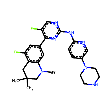 CC(C)N1CC(C)(C)Cc2c(F)cc(-c3nc(Nc4ccc(N5CCNCC5)cn4)ncc3F)cc21